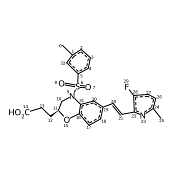 Cc1cccc(S(=O)(=O)N2C[C@H](CCC(=O)O)Oc3ccc(/C=C/c4nc(C)ccc4F)cc32)c1